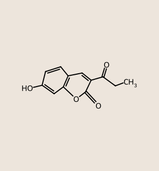 CCC(=O)c1cc2ccc(O)cc2oc1=O